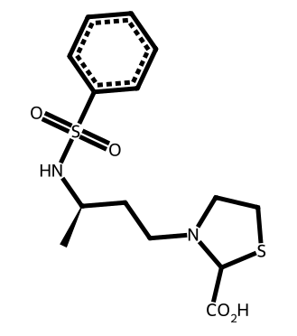 C[C@H](CCN1CCSC1C(=O)O)NS(=O)(=O)c1ccccc1